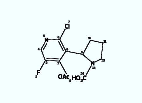 CC(=O)Oc1c(F)cnc(Cl)c1C1CCCN1C(=O)O